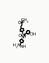 COC(=O)CCc1ccc(-n2c(-c3ccccc3)nn(-c3ccc(C(=N)N)cc3)c2=O)cc1.Cl